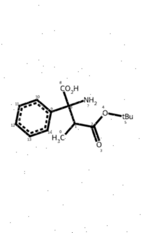 CC(C(=O)OC(C)(C)C)C(N)(C(=O)O)c1ccccc1